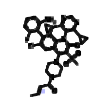 C/C=C/C(=O)N1CCN(c2c(S(C)(=O)=O)c(=O)n(-c3c(C4CC4)ncnc3C3CC3)c3c(F)c(-c4c(N)cccc4F)c(Cl)cc23)CC1